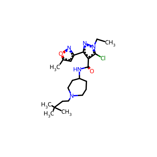 CCn1nc(-c2cc(C)on2)c(C(=O)NC2CCCN(CCC(C)(C)C)CC2)c1Cl